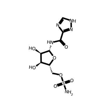 NS(=O)(=O)OC[C@H]1O[C@@H](NC(=O)c2nc[nH]n2)[C@H](O)[C@@H]1O